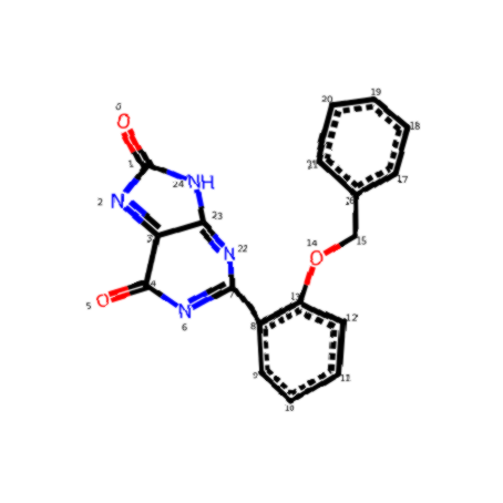 O=C1N=C2C(=O)N=C(c3ccccc3OCc3ccccc3)N=C2N1